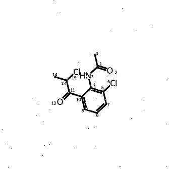 CC(=O)Nc1c(Cl)cccc1C(=O)C(C)Cl